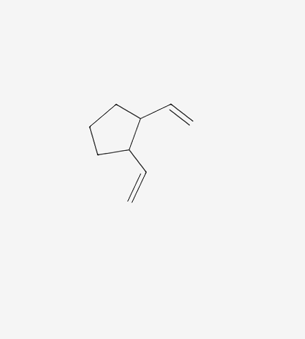 C=CC1CCCC1C=C